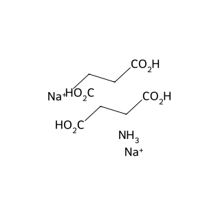 N.O=C(O)CCC(=O)O.O=C(O)CCC(=O)O.[Na+].[Na+]